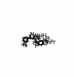 CCCS(=O)(=O)Nc1ccc(F)c(C(=O)c2n[nH]c3ncc(-c4cccc(N(C)C)c4)cc23)c1F